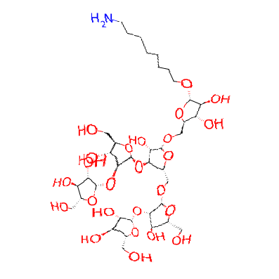 NCCCCCCCCO[C@H]1O[C@H](CO[C@@H]2O[C@H](CO[C@@H]3O[C@H](CO)[C@@H](O)[C@@H]3O[C@@H]3O[C@H](CO)[C@@H](O)[C@@H]3O)[C@@H](O[C@@H]3O[C@H](CO)[C@@H](O)[C@@H]3O[C@@H]3O[C@H](CO)[C@@H](O)[C@@H]3O)[C@@H]2O)[C@@H](O)[C@@H]1O